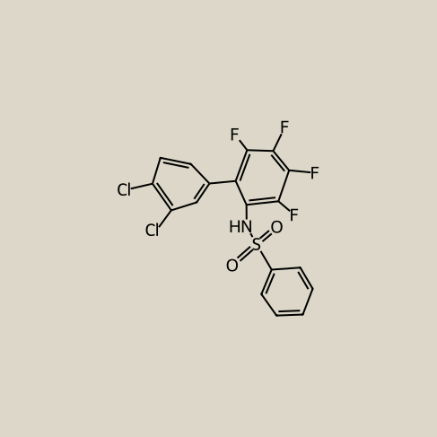 O=S(=O)(Nc1c(F)c(F)c(F)c(F)c1-c1ccc(Cl)c(Cl)c1)c1ccccc1